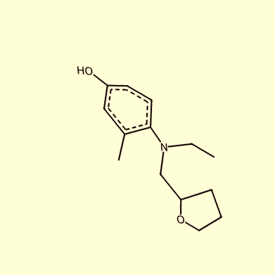 CCN(CC1CCCO1)c1ccc(O)cc1C